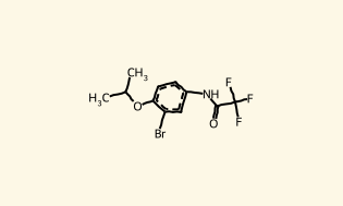 CC(C)Oc1ccc(NC(=O)C(F)(F)F)cc1Br